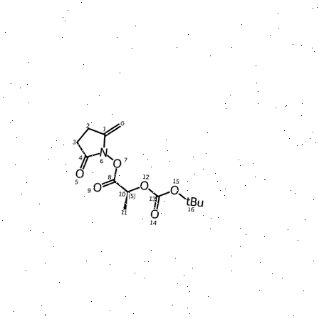 C=C1CCC(=O)N1OC(=O)[C@H](C)OC(=O)OC(C)(C)C